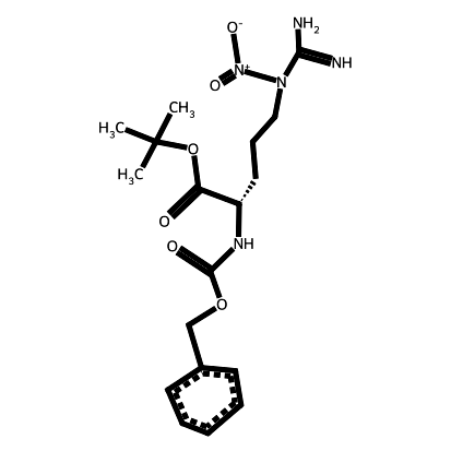 CC(C)(C)OC(=O)[C@H](CCCN(C(=N)N)[N+](=O)[O-])NC(=O)OCc1ccccc1